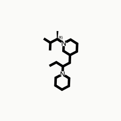 CCC(CC1CCCN([C@H](C)C(C)C)C1)N1CCCCC1